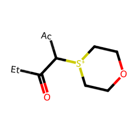 CCC(=O)C(C(C)=O)[S+]1CCOCC1